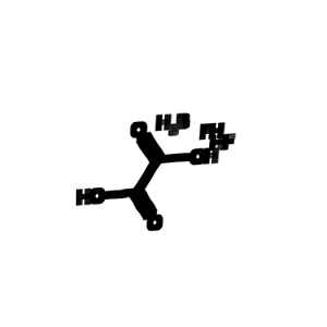 B.F.F.O=C(O)C(=O)O